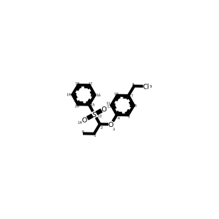 CCC(Oc1ccc(CCl)cc1)S(=O)(=O)c1ccccc1